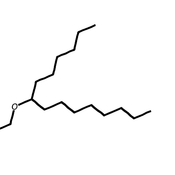 C=CCOC(CCCCCC)CCCCCCCC